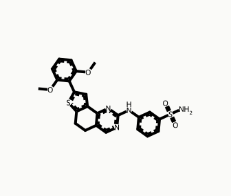 COc1cccc(OC)c1-c1cc2c(s1)CCc1cnc(Nc3cccc(S(N)(=O)=O)c3)nc1-2